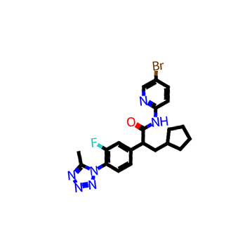 Cc1nnnn1-c1ccc(C(CC2CCCC2)C(=O)Nc2ccc(Br)cn2)cc1F